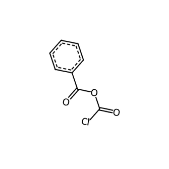 O=C(Cl)OC(=O)c1ccccc1